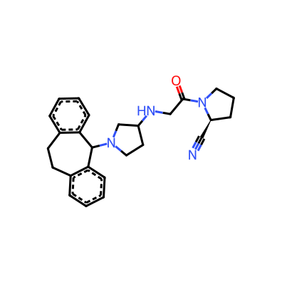 N#C[C@@H]1CCCN1C(=O)CNC1CCN(C2c3ccccc3CCc3ccccc32)C1